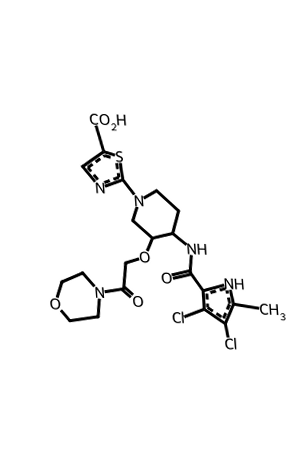 Cc1[nH]c(C(=O)NC2CCN(c3ncc(C(=O)O)s3)CC2OCC(=O)N2CCOCC2)c(Cl)c1Cl